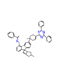 C/C(=N\Cc1cccc2c1-c1cc(C3(C)CC=C(c4nc(-c5ccccc5)nc(-c5ccccc5)n4)CC3)ccc1C21C=C2CC(C)CC21)c1ccccc1